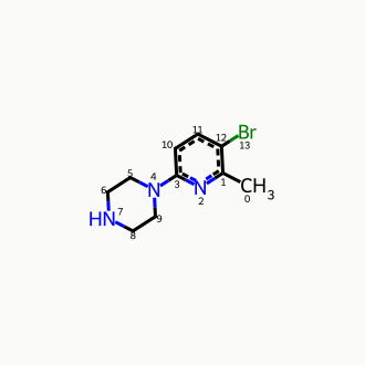 Cc1nc(N2CCNCC2)ccc1Br